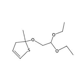 CCOC(COC1(C)CC=CS1)OCC